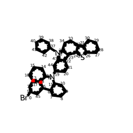 Brc1cccc(-c2ccccc2N(c2ccccc2)c2ccc3c4c5sc6ccccc6c5ccc4n(-c4ccccc4)c3c2)c1